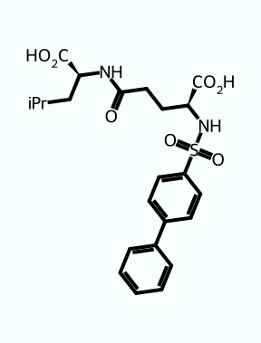 CC(C)C[C@H](NC(=O)CC[C@H](NS(=O)(=O)c1ccc(-c2ccccc2)cc1)C(=O)O)C(=O)O